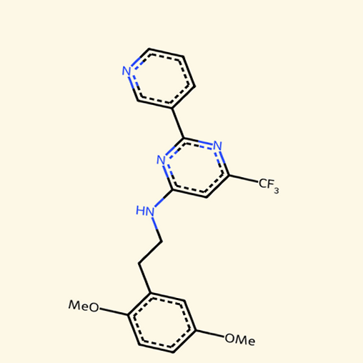 COc1ccc(OC)c(CCNc2cc(C(F)(F)F)nc(-c3cccnc3)n2)c1